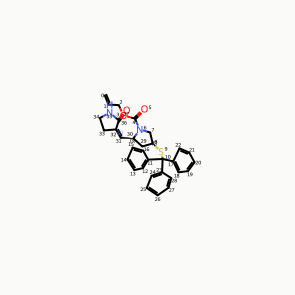 C=CCOC(=O)N1C[C@@H](SC(c2ccccc2)(c2ccccc2)c2ccccc2)C[C@H]1/C=C1/CCNC1=O